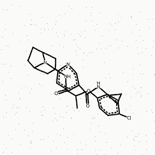 CC(Oc1ccc(Cl)cc1)C(=O)NC1CC2CCC(C1)N2c1ccc(C(=O)NC2CC2)cn1